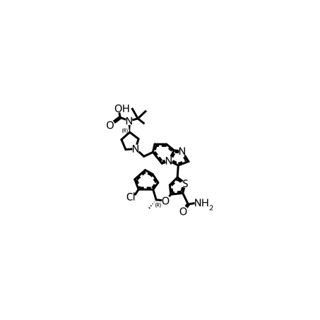 C[C@@H](Oc1cc(-c2cnc3ccc(CN4CC[C@@H](N(C(=O)O)C(C)(C)C)C4)cn23)sc1C(N)=O)c1ccccc1Cl